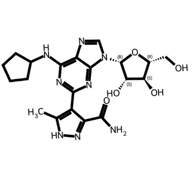 Cc1[nH]nc(C(N)=O)c1-c1nc(NC2CCCC2)c2ncn([C@@H]3O[C@H](CO)[C@@H](O)[C@@H]3O)c2n1